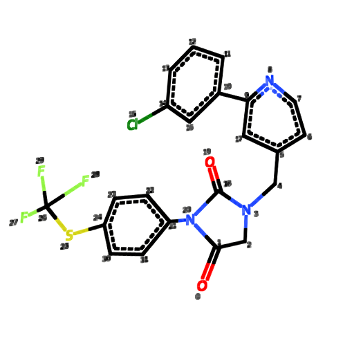 O=C1CN(Cc2ccnc(-c3cccc(Cl)c3)c2)C(=O)N1c1ccc(SC(F)(F)F)cc1